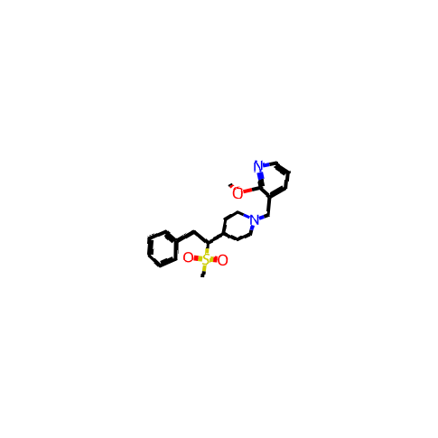 COc1ncccc1CN1CCC(C(Cc2ccccc2)S(C)(=O)=O)CC1